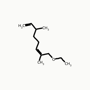 C=CC(C)CCC=C(C)COCC